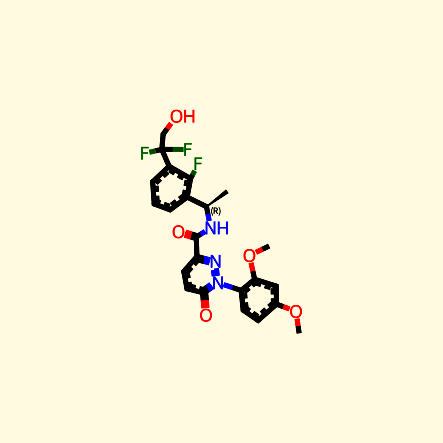 COc1ccc(-n2nc(C(=O)N[C@H](C)c3cccc(C(F)(F)CO)c3F)ccc2=O)c(OC)c1